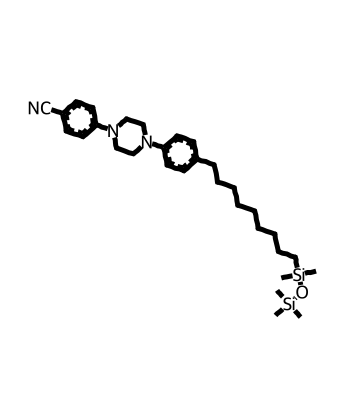 C[Si](C)(C)O[Si](C)(C)CCCCCCCCCc1ccc(N2CCN(c3ccc(C#N)cc3)CC2)cc1